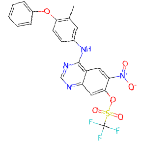 Cc1cc(Nc2ncnc3cc(OS(=O)(=O)C(F)(F)F)c([N+](=O)[O-])cc23)ccc1Oc1ccccc1